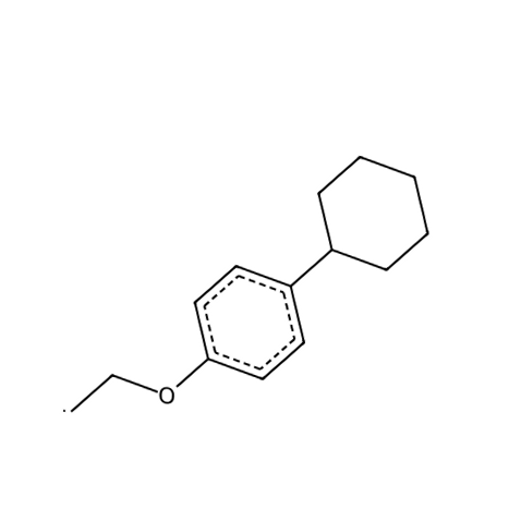 [CH2]COc1ccc(C2CCCCC2)cc1